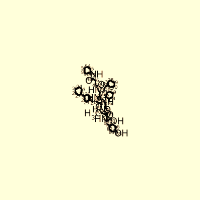 C[C@H](NC(=O)[C@@H](Cc1ccccc1)NC(=O)[C@H](Cc1ccc(-c2ccccc2)cc1)NC(=O)[C@@H](CCc1ccccc1)NC(=O)CCC(=O)Nc1ccccc1)C(=O)N[C@@H](Cc1ccc(O)cc1)C(=O)O